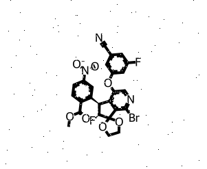 COC(=O)c1ccc([N+](=O)[O-])cc1[C@H]1c2c(Oc3cc(F)cc(C#N)c3)cnc(Br)c2C2(OCCO2)[C@@H]1F